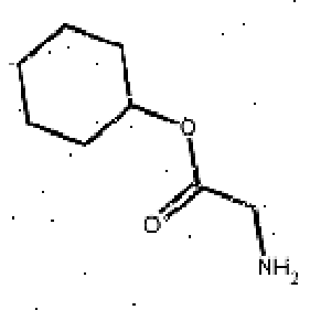 NCC(=O)OC1CC[CH]CC1